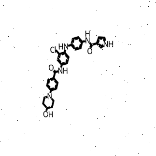 O=C(Nc1ccc(Nc2ccc(NC(=O)c3cc[nH]c3)cc2)c(Cl)c1)c1ccc(N2CCC(O)CC2)cc1